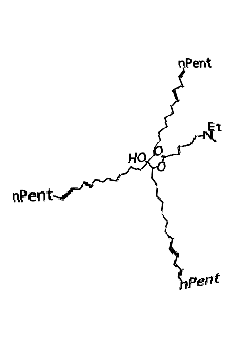 CCCCCC=CCC=CCCCCCCCCC(OC(=O)CCCCN(C)CC)C(O)(CCCCCCCCC=CCC=CCCCCC)CCCCCCCCC=CCC=CCCCCC